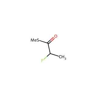 CSC(=O)C(C)F